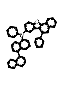 c1ccc(-c2cc3ccccc3c3oc4ccc(N(c5ccccc5)c5cccc6c(-c7cccc8ccccc78)cccc56)cc4c23)cc1